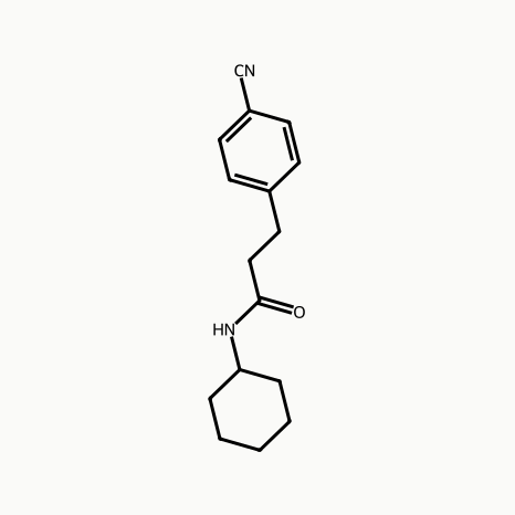 N#Cc1ccc(CCC(=O)NC2CCCCC2)cc1